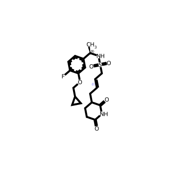 C[C@@H](NS(=O)(=O)C/C=C/CC1CCC(=O)NC1=O)c1ccc(F)c(OCC2CC2)c1